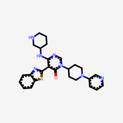 O=c1c(-c2nc3ccccc3s2)c(NC2CCCNC2)ncn1C1CCN(c2cccnc2)CC1